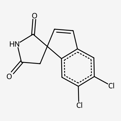 O=C1CC2(C=Cc3cc(Cl)c(Cl)cc32)C(=O)N1